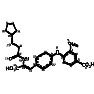 COc1cc(C(=O)O)ccc1Oc1ccc(/C=C(\NC(=O)CCC2CCCC2)C(=O)O)cc1